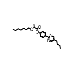 CCCCCCCOC(C)C(=O)Oc1ccc(-c2ncc(CCCC)cn2)cc1